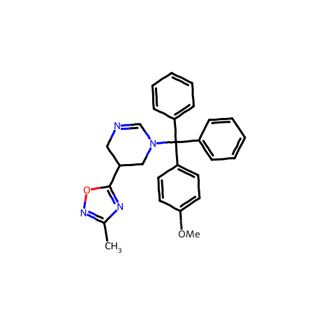 COc1ccc(C(c2ccccc2)(c2ccccc2)N2C=NCC(c3nc(C)no3)C2)cc1